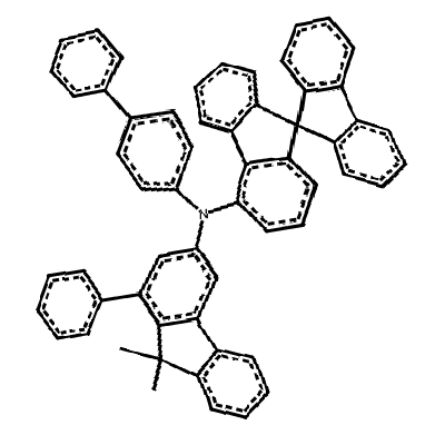 CC1(C)c2ccccc2-c2cc(N(c3ccc(-c4ccccc4)cc3)c3cccc4c3-c3ccccc3C43c4ccccc4-c4ccccc43)cc(-c3ccccc3)c21